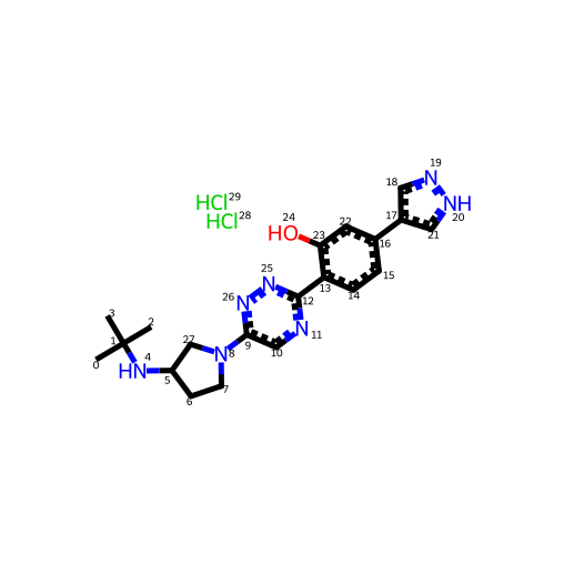 CC(C)(C)NC1CCN(c2cnc(-c3ccc(-c4cn[nH]c4)cc3O)nn2)C1.Cl.Cl